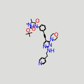 CC(C(=O)Nc1cccc(C#Cc2cnc(NCCc3ccncc3)nc2N2CCOCC2)c1)N(C)C(=O)OC(C)(C)C